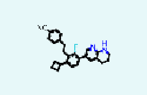 N#Cc1ccc(CCc2c(C3CCC3)ccc(-c3cnc4c(c3)CCCN4)c2F)cc1